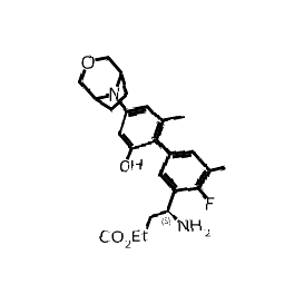 CCOC(=O)C[C@H](N)c1cc(-c2c(C)cc(N3C4CCC3COC4)cc2O)cc(C)c1F